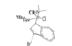 C[SiH](C)[Zr]([Cl])([Cl])([NH]C(C)(C)C)[CH]1C=C(Br)c2ccccc21